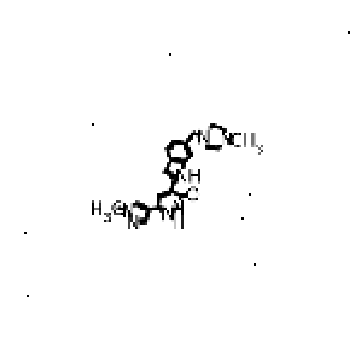 CN1CCN(Cc2ccc3cc(-c4cc(-c5cnn(C)c5)n[nH]c4=O)[nH]c3c2)CC1